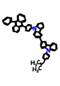 CC(C)Cc1ccc(-n2c3ccccc3c3cc(-c4ccc5c(c4)c4ccccc4n5-c4ccc(-c5c6ccccc6c(-c6ccccc6)c6ccccc56)cc4)ccc32)cc1